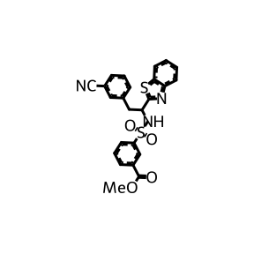 COC(=O)c1cccc(S(=O)(=O)NC(Cc2cccc(C#N)c2)c2nc3ccccc3s2)c1